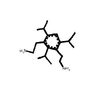 CC(C)c1cc(C(C)C)c(CCN)c(C(C)C)c1CCN